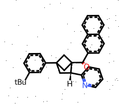 CC(C)(C)c1cccc(C23C[C@@H](c4ccccn4)C(C(=O)c4ccc5ccccc5c4)(C2)C3)c1